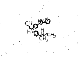 C=C(NCCC)c1ccc(NC(CCCC)c2ccc(C3=NN=C(c4ccccn4)C3)cc2)cc1